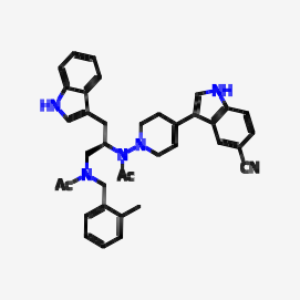 CC(=O)N(Cc1ccccc1C)C[C@@H](Cc1c[nH]c2ccccc12)N(C(C)=O)N1CC=C(c2c[nH]c3ccc(C#N)cc23)CC1